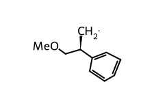 [CH2][C@H](COC)c1ccccc1